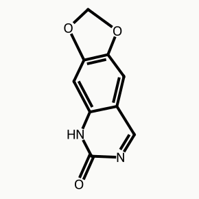 O=c1ncc2cc3c(cc2[nH]1)OCO3